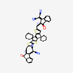 N#CC(C#N)=C1/C(=C/c2cc3c(s2)C2=C(c4sc5cc(/C=C6/C(=O)c7ccccc7C6=C(C#N)C#N)sc5c4C24CCCCC4)C32CCCCC2)C(=O)c2ccccc21